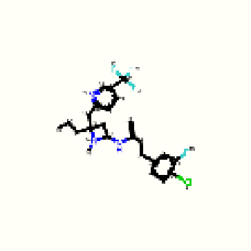 C=C(CCc1ccc(Cl)c(F)c1)NC1CC(CCC)(Cc2ccc(C(F)(F)F)cn2)N1C